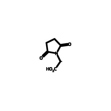 O=C(O)[CH]N1C(=O)CCC1=O